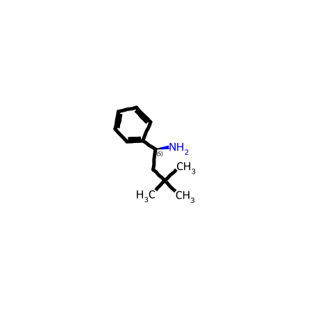 CC(C)(C)C[C@H](N)c1ccccc1